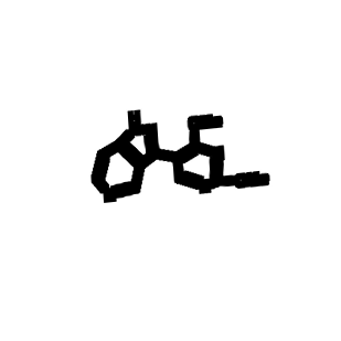 COc1ncc(-c2n[nH]c3ccncc23)c(OC)n1